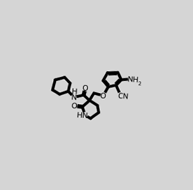 N#Cc1c(N)cccc1OCC1(C(=O)NC2CCCCC2)CCCNC1=O